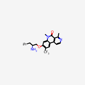 Cc1nccc2c1c(=O)n(C)c1cc(OC[C@@H](N)CC(C)C)c(C(F)(F)F)cc21